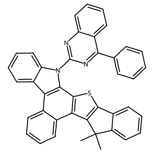 CC1(C)c2ccccc2-c2sc3c(c21)c1ccccc1c1c2ccccc2n(-c2nc(-c4ccccc4)c4ccccc4n2)c31